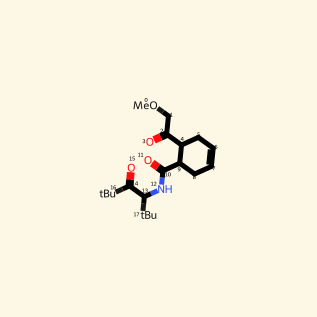 COCC(=O)C1CC=CCC1C(=O)NC(C(=O)C(C)(C)C)C(C)(C)C